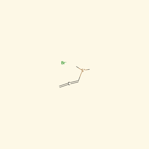 C=C=C[S+](C)C.[Br-]